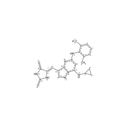 Cc1cccc(C)c1Nc1cc(NC2CC2)n2ncc(/C=C3\NC(=O)NC3=O)c2n1